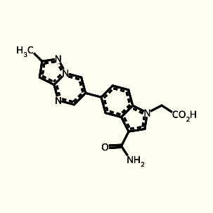 Cc1cc2ncc(-c3ccc4c(c3)c(C(N)=O)cn4CC(=O)O)cn2n1